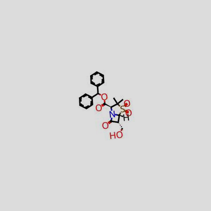 CC1(C)[C@H](C(=O)OC(c2ccccc2)c2ccccc2)N2C(=O)[C@@H](CO)[C@H]2S1(=O)=O